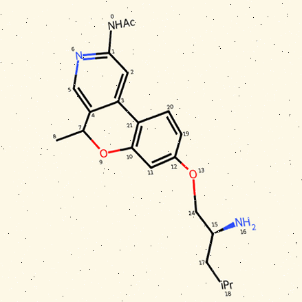 CC(=O)Nc1cc2c(cn1)C(C)Oc1cc(OC[C@@H](N)CC(C)C)ccc1-2